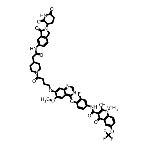 COc1cc2c(Oc3ccc(NC(=O)c4c(C)n(C)c5ccc(OC(F)(F)F)cc5c4=O)cc3F)ncnc2cc1OCCCC(=O)N1CCC(CC(=O)Nc2ccc3c(c2)C(=O)N(C2CCC(=O)NC2=O)C3)CC1